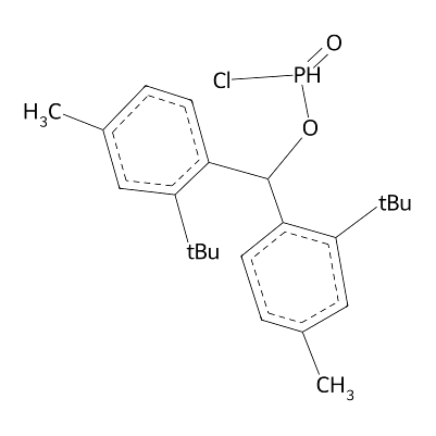 Cc1ccc(C(O[PH](=O)Cl)c2ccc(C)cc2C(C)(C)C)c(C(C)(C)C)c1